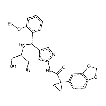 CCOc1ccccc1C(NC(CO)CC(C)C)c1cnc(NC(=O)C2(c3ccc4c(c3)OCO4)CC2)s1